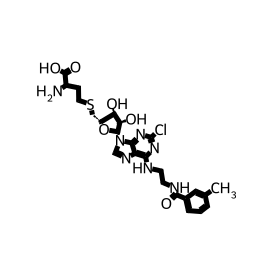 Cc1cccc(C(=O)NCCNc2nc(Cl)nc3c2ncn3[C@@H]2O[C@H](CSCCC(N)C(=O)O)[C@H](O)[C@H]2O)c1